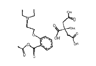 CCN(CC)CCOc1ccccc1C(=O)OC(C)=O.O=C(O)CC(O)(CC(=O)O)C(=O)O